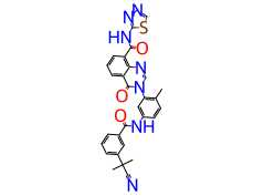 Cc1ccc(NC(=O)c2cccc(C(C)(C)C#N)c2)cc1-n1cnc2c(C(=O)Nc3nncs3)cccc2c1=O